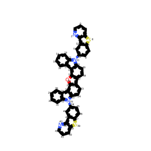 c1cnc2c(c1)sc1ccc(-n3c4ccccc4c4c5oc6c(ccc7c6c6ccccc6n7-c6ccc7sc8cccnc8c7c6)c5ccc43)cc12